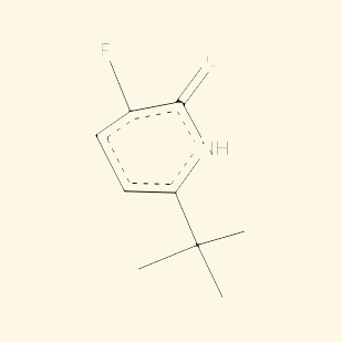 CC(C)(C)c1ccc(F)c(=O)[nH]1